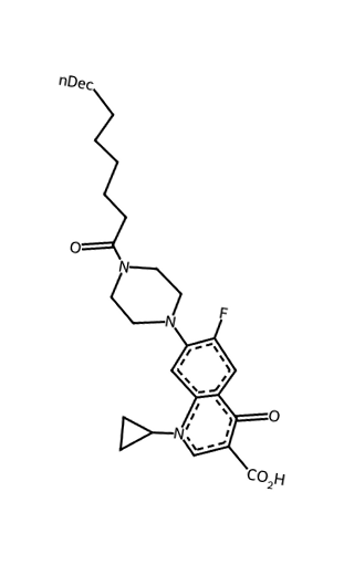 CCCCCCCCCCCCCCCC(=O)N1CCN(c2cc3c(cc2F)c(=O)c(C(=O)O)cn3C2CC2)CC1